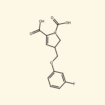 O=C(O)C1=CC(COc2cccc(F)c2)CN1C(=O)O